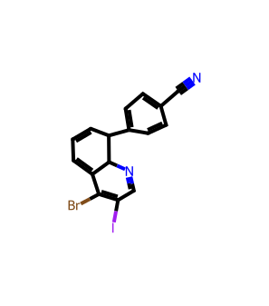 N#Cc1ccc(C2C=CC=C3C(Br)=C(I)C=NC32)cc1